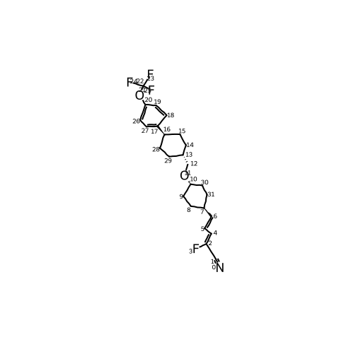 N#C/C(F)=C/C=C/[C@H]1CC[C@H](OC[C@H]2CC[C@H](c3ccc(OC(F)(F)F)cc3)CC2)CC1